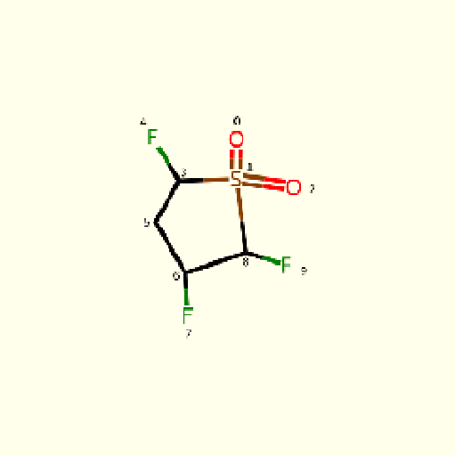 O=S1(=O)C(F)CC(F)C1F